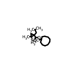 CC(C)CC1(C(=O)OC2(C)CCCCCCCCC2)CC1(C)C